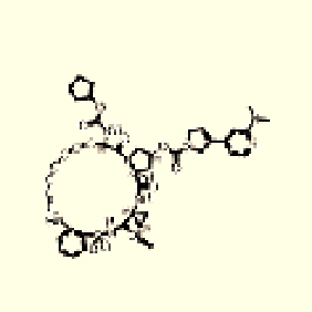 C=C[C@@H]1C[C@@]12NC(=O)[C@@H]1C[C@@H](OC(=O)N3CC=C(c4ccnc(N(C)C)c4)C3)CN1C(=O)[C@@H](NC(=O)OC1CCCC1)CCCCCCCNc1ccccc1S(=O)(=O)NC2=O